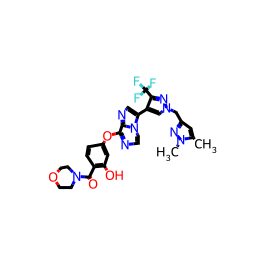 Cc1cc(Cn2cc(-c3cnc4c(Oc5ccc(C(=O)N6CCOCC6)c(O)c5)nccn34)c(C(F)(F)F)n2)nn1C